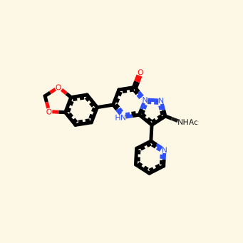 CC(=O)Nc1nn2c(=O)cc(-c3ccc4c(c3)OCO4)[nH]c2c1-c1ccccn1